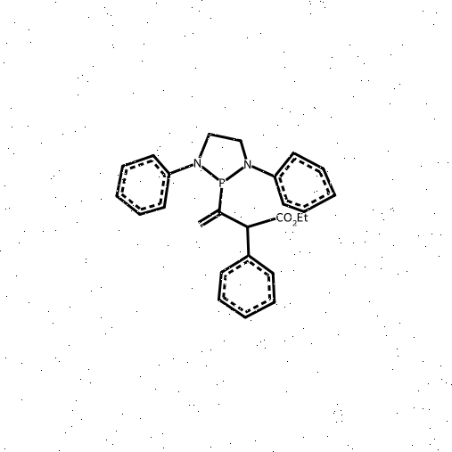 C=C(C(C(=O)OCC)c1ccccc1)P1N(c2ccccc2)CCN1c1ccccc1